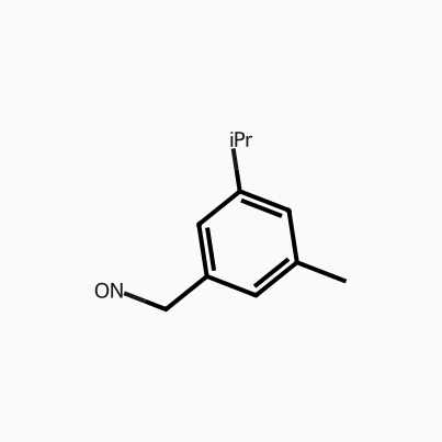 Cc1cc(CN=O)cc(C(C)C)c1